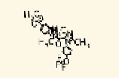 COC(=O)c1ccc([C@H](C)NC(=O)c2c(C)nc(C)n2-c2ccc(OC(F)(F)F)cc2)cc1